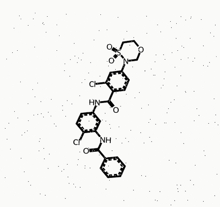 O=C(Nc1cc(NC(=O)c2ccc(N3COCCS3(=O)=O)cc2Cl)ccc1Cl)c1ccccc1